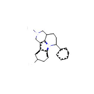 CC1C=c2c3c4n(c2=CC1)C(c1ccccc1)CCC4CN(C)C3